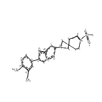 CS(=O)(=O)N1CCC2(CC1)CN(c1nn3cc(-c4cnc(N)c(C(F)(F)F)c4)nc3s1)C2